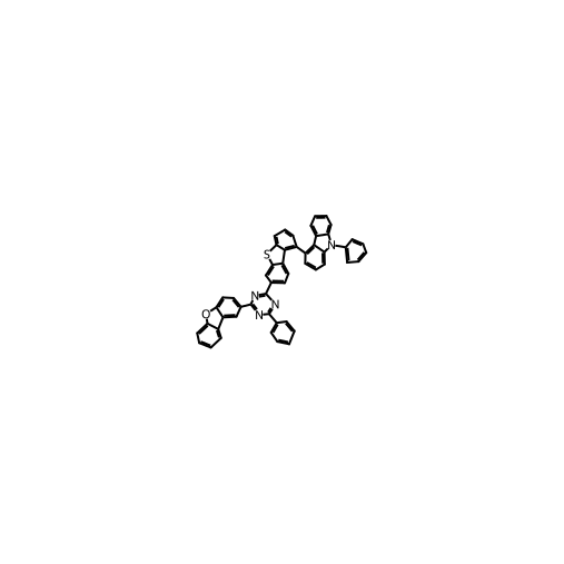 c1ccc(-c2nc(-c3ccc4c(c3)sc3cccc(-c5cccc6c5c5ccccc5n6-c5ccccc5)c34)nc(-c3ccc4oc5ccccc5c4c3)n2)cc1